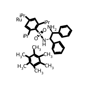 CC(C)c1cc(C(C)C)c(S(=O)(=O)N[C@@H](c2ccccc2)[C@@H](N)c2ccccc2)c(C(C)C)c1.Cc1c(C)c(C)c(C)c(C)c1C.[Ru]